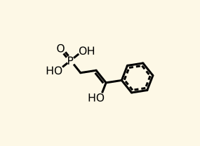 O=P(O)(O)CC=C(O)c1ccccc1